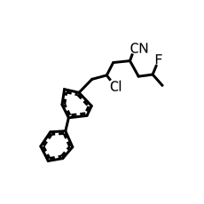 CC(F)CC(C#N)CC(Cl)Cc1ccc(-c2ccccc2)cc1